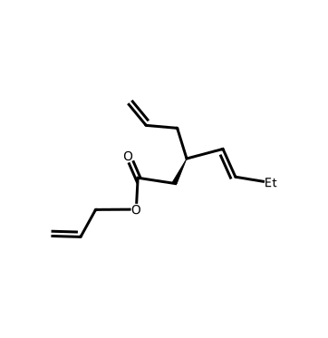 C=CCOC(=O)C[C@H](/C=C/CC)CC=C